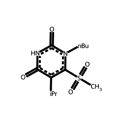 CCCCn1c(S(C)(=O)=O)c(C(C)C)c(=O)[nH]c1=O